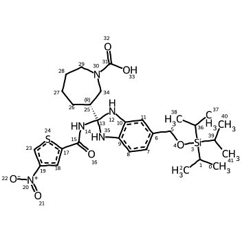 CC(C)[Si](OCc1ccc2c(c1)NC(NC(=O)c1cc([N+](=O)[O-])cs1)([C@@H]1CCCCN(C(=O)O)C1)N2)(C(C)C)C(C)C